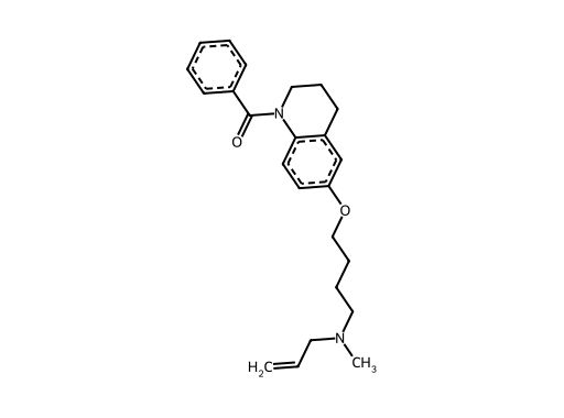 C=CCN(C)CCCCOc1ccc2c(c1)CCCN2C(=O)c1ccccc1